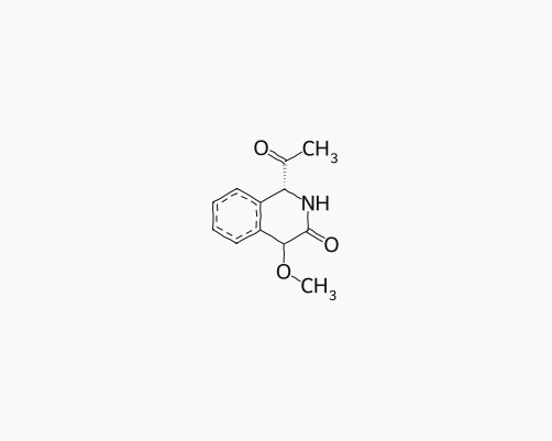 COC1C(=O)N[C@@H](C(C)=O)c2ccccc21